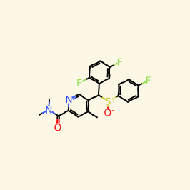 Cc1cc(C(=O)N(C)C)ncc1C(c1cc(F)ccc1F)[S+]([O-])c1ccc(F)cc1